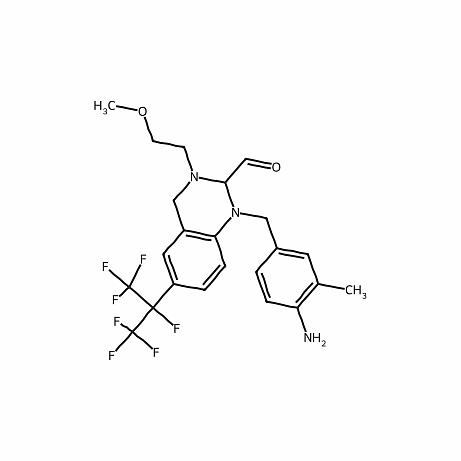 COCCN1Cc2cc(C(F)(C(F)(F)F)C(F)(F)F)ccc2N(Cc2ccc(N)c(C)c2)C1C=O